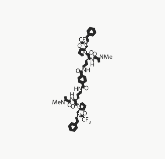 CN[C@@H](C)C(=O)N[C@@H](CCCNC(=O)c1ccc(C(=O)NCCC[C@H](NC(=O)[C@H](C)NC)C(=O)N2CCC[C@H]2CN(CCc2ccccc2)C(=O)C(F)(F)F)cc1)C(=O)N1CCC[C@H]1CN(CCc1ccccc1)C(=O)C(F)(F)F